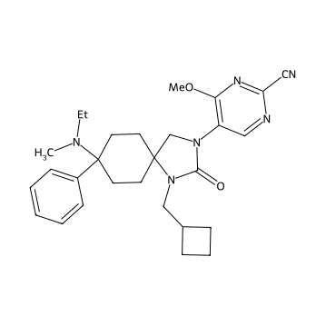 CCN(C)C1(c2ccccc2)CCC2(CC1)CN(c1cnc(C#N)nc1OC)C(=O)N2CC1CCC1